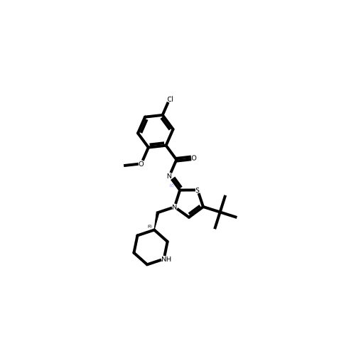 COc1ccc(Cl)cc1C(=O)/N=c1\sc(C(C)(C)C)cn1C[C@@H]1CCCNC1